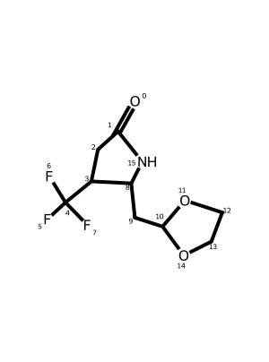 O=C1CC(C(F)(F)F)C(CC2OCCO2)N1